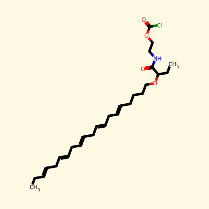 CCC=CCC=CCC=CCC=CCC=CCCCCOC(CC)C(=O)NCCOC(=O)Cl